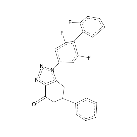 O=C1CC(c2ccccc2)Cc2c1nnn2-c1cc(F)c(-c2ccccc2F)c(F)c1